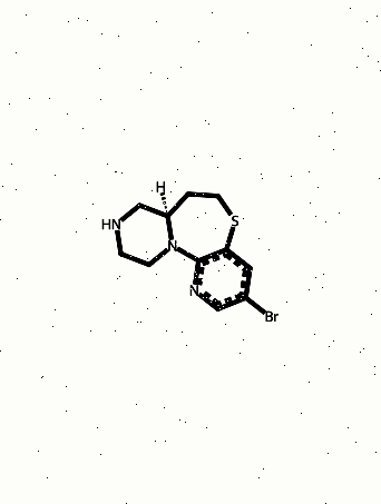 Brc1cnc2c(c1)SCC[C@@H]1CNCCN21